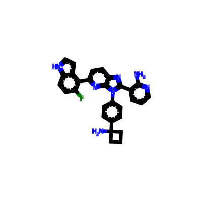 Nc1ncccc1-c1nc2ccc(-c3c(F)ccc4[nH]ccc34)nc2n1-c1ccc(C2(N)CCC2)cc1